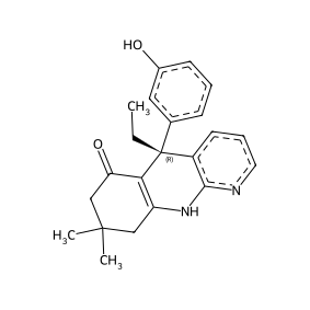 CC[C@]1(c2cccc(O)c2)C2=C(CC(C)(C)CC2=O)Nc2ncccc21